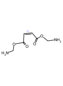 NCOC(=O)/C=C\C(=O)OCN